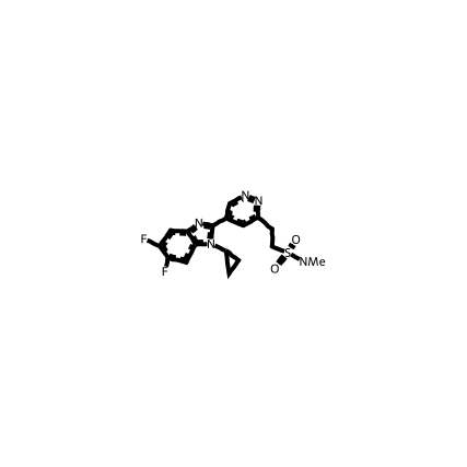 CNS(=O)(=O)CCc1cc(-c2nc3cc(F)c(F)cc3n2C2CC2)cnn1